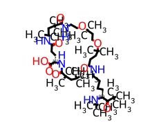 CC(C)(C)CC(C)(C)C(=O)N[C@@H](CCC(=O)NC(C)(C)CC(C)(C)C(=O)NCCOC(C)(C)CCOC(C)(C)CCC(=O)NCCCC[C@H](NC(C)(C)C)C(=O)C(C)(C)C)C(=O)O